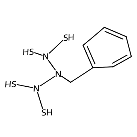 SN(S)N(Cc1ccccc1)N(S)S